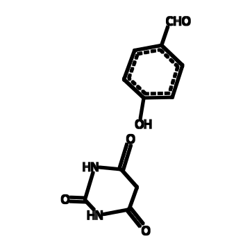 O=C1CC(=O)NC(=O)N1.O=Cc1ccc(O)cc1